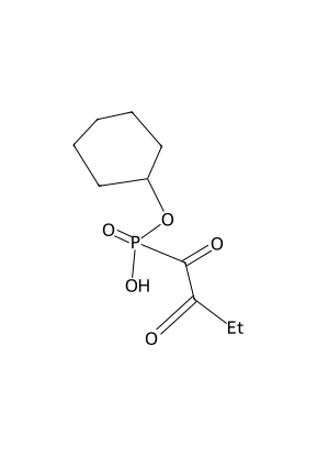 CCC(=O)C(=O)P(=O)(O)OC1CCCCC1